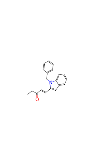 CCC(=O)C=Cc1cc2ccccc2n1Cc1ccccc1